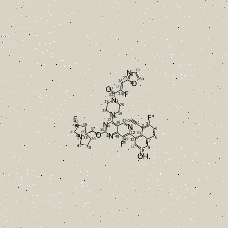 C#Cc1c(F)ccc2cc(O)cc(-c3ncc4c(N5CCN(C(=O)/C(F)=C/c6ncco6)CC5)nc(OC[C@@]56CCCN5C[C@H](F)C6)nc4c3F)c12